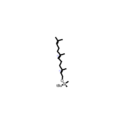 CC(C)=CCC/C(C)=C/CC/C(C)=C/CO[Si](C)(C)C(C)(C)C